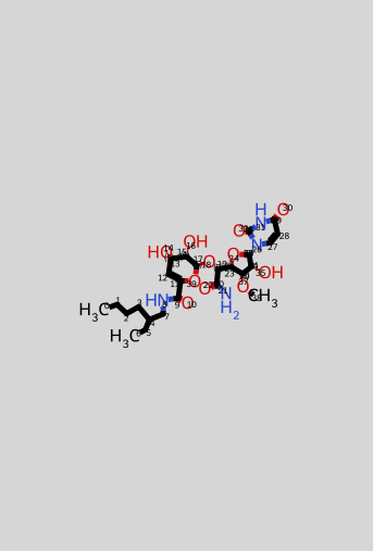 CCCCC(CC)CNC(=O)C1=C[C@H](O)[C@H](O)[C@@H](O[C@@H](C(N)=O)[C@H]2O[C@@H](n3ccc(=O)[nH]c3=O)[C@H](O)[C@@H]2OC)O1